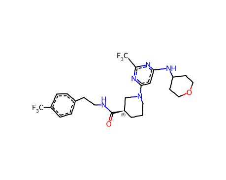 O=C(NCCc1ccc(C(F)(F)F)cc1)[C@@H]1CCCN(c2cc(NC3CCOCC3)nc(C(F)(F)F)n2)C1